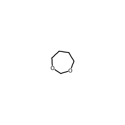 C1CCOCOC1